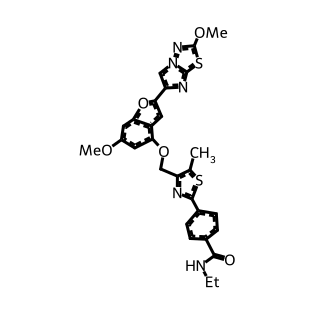 CCNC(=O)c1ccc(-c2nc(COc3cc(OC)cc4oc(-c5cn6nc(OC)sc6n5)cc34)c(C)s2)cc1